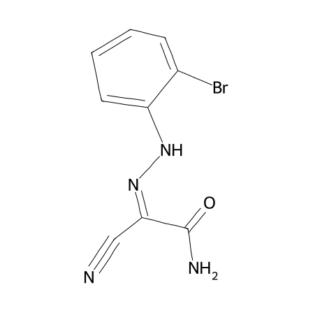 N#CC(=NNc1ccccc1Br)C(N)=O